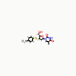 Cc1cn([C@H]2CC(SSc3ccc([N+](=O)[O-])cc3)[C@@H](CO)O2)c(=O)[nH]c1=O